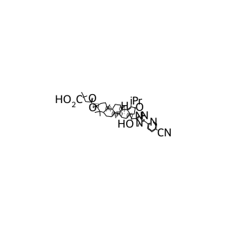 CC(C)C1=C2[C@H]3CCC4[C@@]5(C)CC[C@H](OC(=O)CC(C)(C)C(=O)O)C(C)(C)C5CC[C@@]4(C)[C@]3(C)CC[C@@]2(C(O)c2nnc(-c3ccc(C#N)cn3)n2C)CC1=O